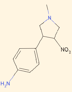 CN1CC(c2ccc(N)cc2)C([N+](=O)[O-])C1